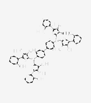 Cc1ccccc1-c1sc(N(c2ccc(-c3ccc(N(c4sc(-c5ccccc5C)c(C)c4C)c4sc(-c5ccccc5C)c(C)c4C)cc3)cc2)c2sc(-c3ccccc3C)c(C)c2C)c(C)c1C